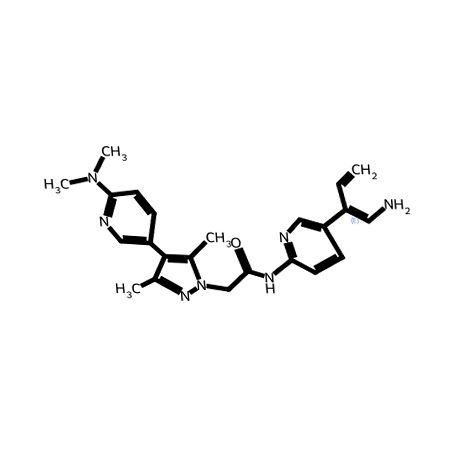 C=C/C(=C\N)c1ccc(NC(=O)Cn2nc(C)c(-c3ccc(N(C)C)nc3)c2C)nc1